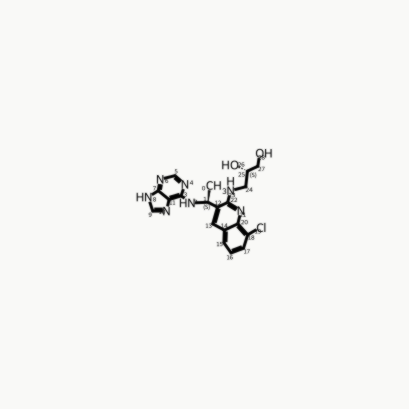 C[C@H](Nc1ncnc2[nH]cnc12)c1cc2cccc(Cl)c2nc1NC[C@H](O)CO